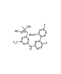 COc1cc(F)ccc1-c1nc(Nc2cc(C[SH](C)(O)=NC#N)cc(C(F)(F)F)c2)ncc1F